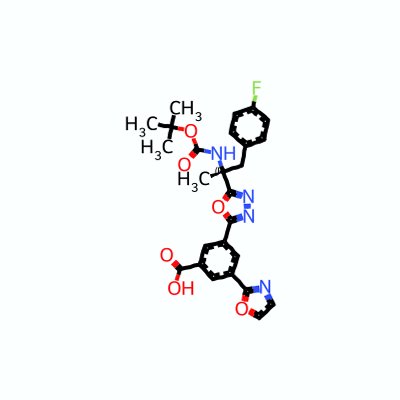 CC(C)(C)OC(=O)N[C@](C)(Cc1ccc(F)cc1)c1nnc(-c2cc(C(=O)O)cc(-c3ncco3)c2)o1